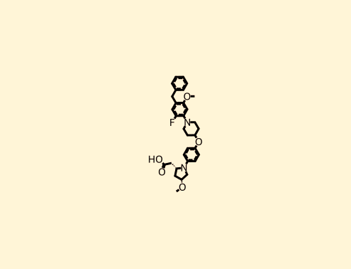 COc1cc(N2CCC(Oc3ccc(N4C[C@H](OC)C[C@@H]4CC(=O)O)cc3)CC2)c(F)cc1Cc1ccccc1